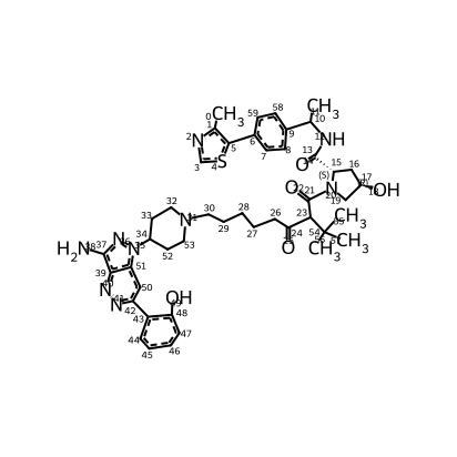 Cc1ncsc1-c1ccc(C(C)NC(=O)[C@@H]2C[C@@H](O)CN2C(=O)C(C(=O)CCCCCN2CCC(n3nc(N)c4nnc(-c5ccccc5O)cc43)CC2)C(C)(C)C)cc1